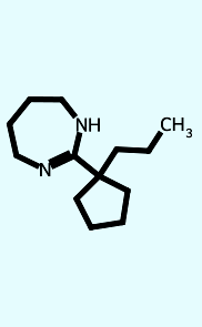 CCCC1(C2=NCCCCN2)CCCC1